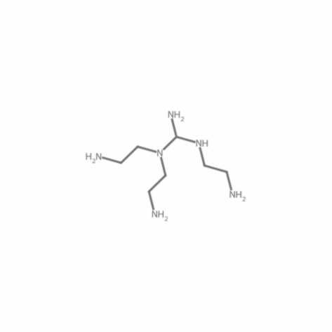 NCCNC(N)N(CCN)CCN